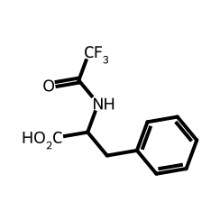 O=C(O)C(Cc1ccccc1)NC(=O)C(F)(F)F